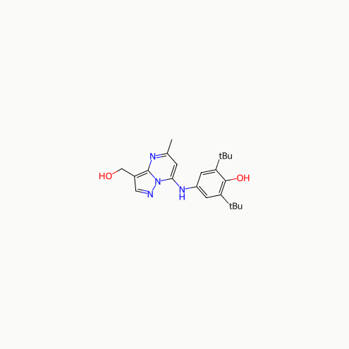 Cc1cc(Nc2cc(C(C)(C)C)c(O)c(C(C)(C)C)c2)n2ncc(CO)c2n1